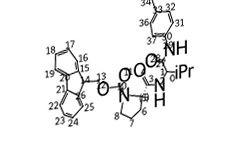 CC(C)C(NC(=O)[C@@H]1CCCN1C(=O)OCC1c2ccccc2-c2ccccc21)C(=O)Nc1ccc(CO)cc1